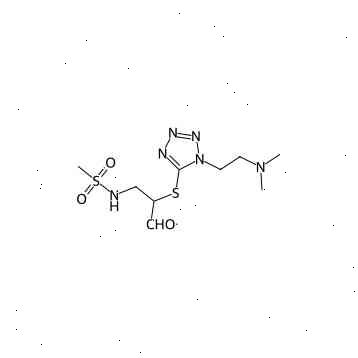 CN(C)CCn1nnnc1SC([C]=O)CNS(C)(=O)=O